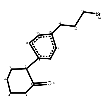 O=C1CCCCC1c1ccc(CCCBr)cc1